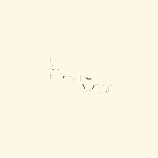 O=C(CC(F)(F)F)NCc1ccc(OC(F)(F)F)cc1